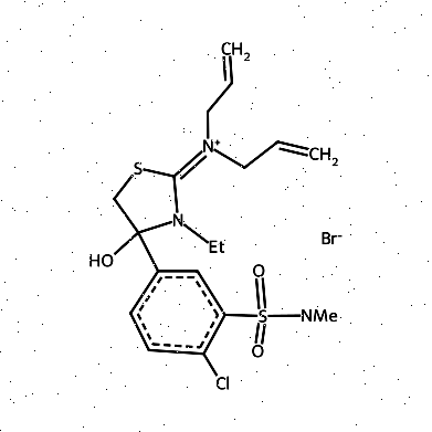 C=CC[N+](CC=C)=C1SCC(O)(c2ccc(Cl)c(S(=O)(=O)NC)c2)N1CC.[Br-]